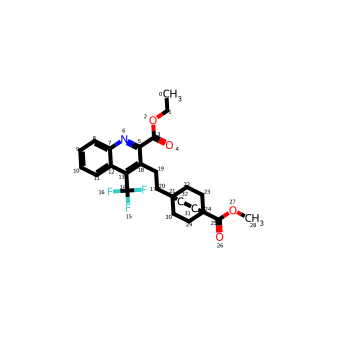 CCOC(=O)c1nc2ccccc2c(C(F)(F)F)c1CCC12CCC(C(=O)OC)(CC1)CC2